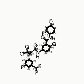 O=C(Nc1ccc(F)cc1F)c1cc(NC(=O)[C@H]2[C@H](c3cc(F)cc(C(F)F)c3)C2(Cl)Cl)ccc1Cl